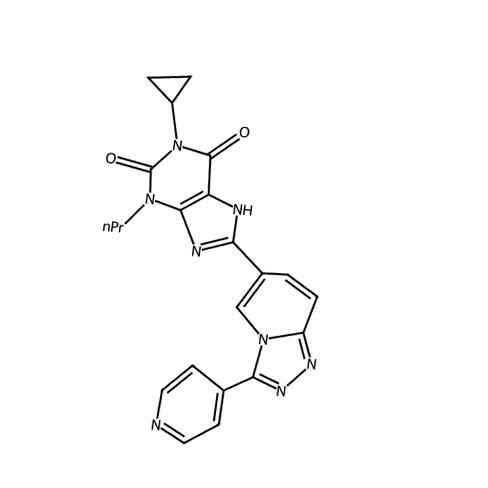 CCCn1c(=O)n(C2CC2)c(=O)c2[nH]c(-c3ccc4nnc(-c5ccncc5)n4c3)nc21